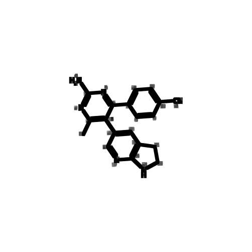 Cc1nc(N)nc(-c2ccc(C#N)cc2)c1-c1cnc2c(c1)CCN2